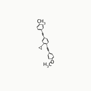 COc1ccc(C#Cc2ccc(C#Cc3ccc(C)cc3)cc2C2CC2)cc1